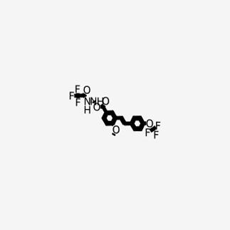 COc1ccc(C(=O)ONNC(=O)C(F)(F)F)cc1C=Cc1ccc(OC(F)(F)F)cc1